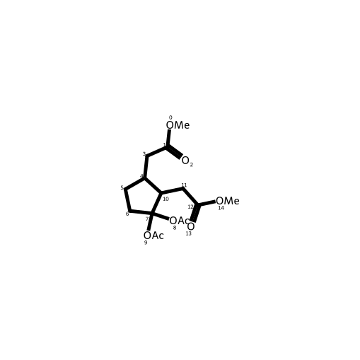 COC(=O)CC1CCC(OC(C)=O)(OC(C)=O)C1CC(=O)OC